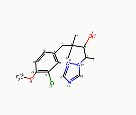 CC(C(O)C(C)(C)Cc1ccc(OC(F)(F)F)c(Cl)c1)n1cncn1